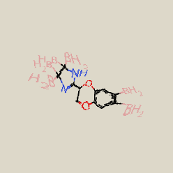 Bc1cc2c(cc1B)OC(C1=NC(B)(B)C(B)(B)N1)CO2